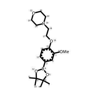 COc1cc(B2OC(C)(C)C(C)(C)O2)ccc1OCCN1CCOCC1